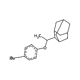 CCC(C)c1ccc(OC(C)C2C3CC4CC(C3)CC2C4)cc1